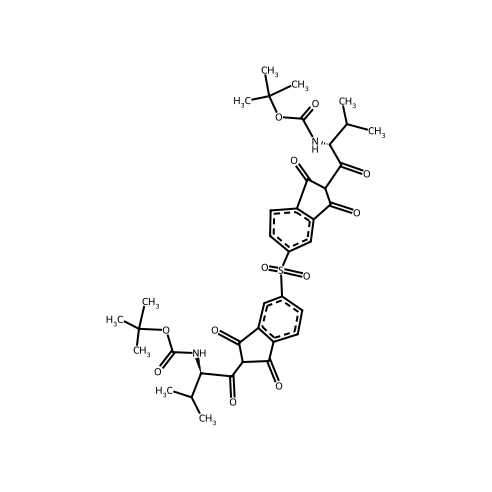 CC(C)[C@@H](NC(=O)OC(C)(C)C)C(=O)C1C(=O)c2ccc(S(=O)(=O)c3ccc4c(c3)C(=O)C(C(=O)[C@H](NC(=O)OC(C)(C)C)C(C)C)C4=O)cc2C1=O